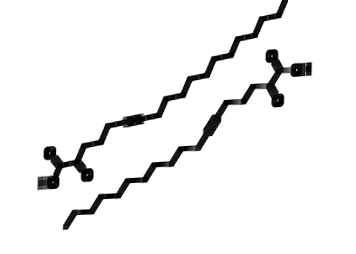 CCCCCCCCCCCC#CCCCC(=O)C(=O)O.CCCCCCCCCCCCC#CCCCC(=O)C(=O)O